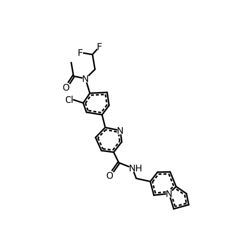 CC(=O)N(CC(F)F)c1ccc(-c2ccc(C(=O)NCc3ccc4cccn4c3)cn2)cc1Cl